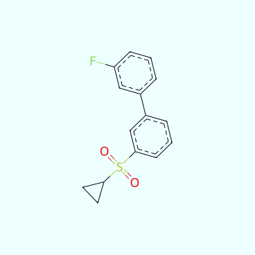 O=S(=O)(c1cccc(-c2cccc(F)c2)c1)C1CC1